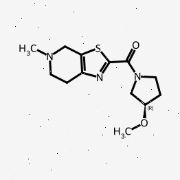 CO[C@@H]1CCN(C(=O)c2nc3c(s2)CN(C)CC3)C1